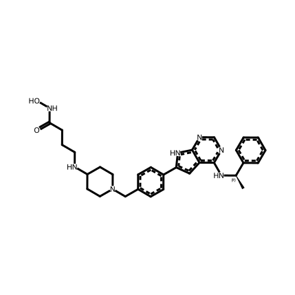 C[C@@H](Nc1ncnc2[nH]c(-c3ccc(CN4CCC(NCCCC(=O)NO)CC4)cc3)cc12)c1ccccc1